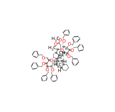 COC(=O)CC[C@@H](C)[C@H]1CC[C@H]2[C@@H]3[C@@H](C4O[C@H](COCc5ccccc5)[C@@H](OCc5ccccc5)[C@H](OCc5ccccc5)[C@H]4OCc4ccccc4)C[C@H]4CCCC[C@]4(C)[C@H]3C[C@@H]([C@@H]3O[C@H](COCc4ccccc4)[C@@H](OCc4ccccc4)[C@H](OCc4ccccc4)[C@H]3OCc3ccccc3)[C@]12C